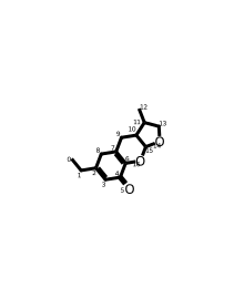 CCC1=CC(=O)C2=C(C1)CC1C(C)COC1O2